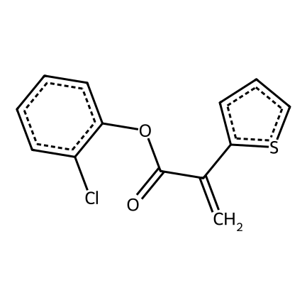 C=C(C(=O)Oc1ccccc1Cl)c1cccs1